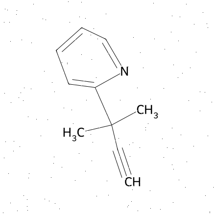 C#CC(C)(C)c1ccccn1